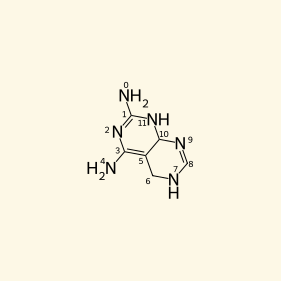 NC1=NC(N)=C2CNC=NC2N1